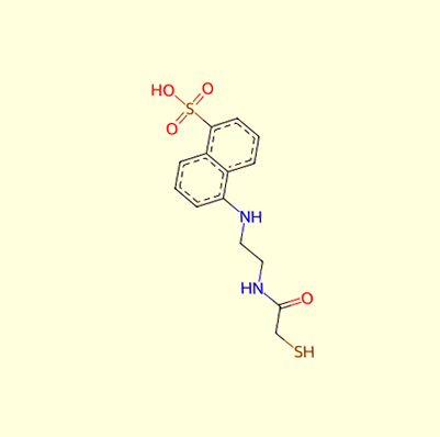 O=C(CS)NCCNc1cccc2c(S(=O)(=O)O)cccc12